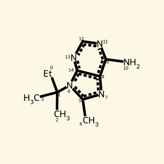 CCC(C)(C)n1c(C)nc2c(N)ncnc21